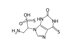 NCC(n1cnc2c(=S)[nH]c(=O)[nH]c21)S(=O)(O)=S